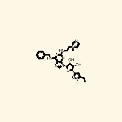 CCc1cc([C@H]2O[C@@H](n3cnc4c(NCc5ccccc5)nc(NCC[N+]5(C)C=CN=C5)nc43)[C@H](O)[C@@H]2O)on1